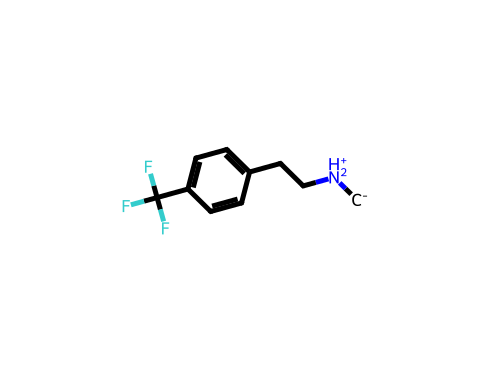 [CH2-][NH2+]CCc1ccc(C(F)(F)F)cc1